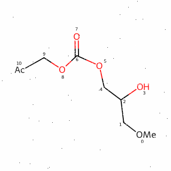 COCC(O)COC(=O)OCC(C)=O